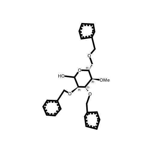 CO[C@H]1[C@H](OCc2ccccc2)[C@@H](OCc2ccccc2)C(O)O[C@@H]1COCc1ccccc1